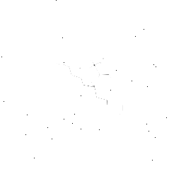 CC(=O)C(O)(C(C)=O)C(O)CO.CCCCCCCCCCCCCCCCCC(=O)O